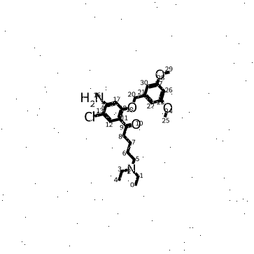 CCN(CC)CCCCC(=O)c1cc(Cl)c(N)cc1OCc1cc(OC)cc(OC)c1